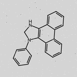 c1ccc(N2CNc3c2c2ccccc2c2ccccc32)cc1